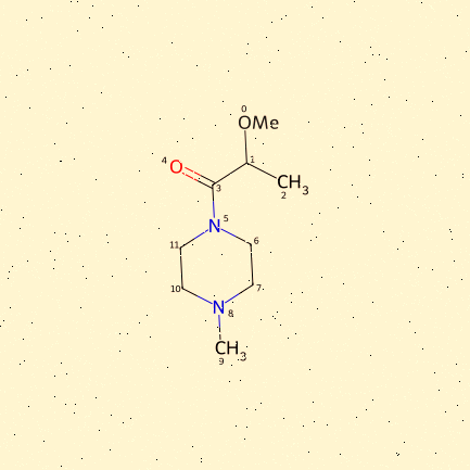 COC(C)C(=O)N1CCN(C)CC1